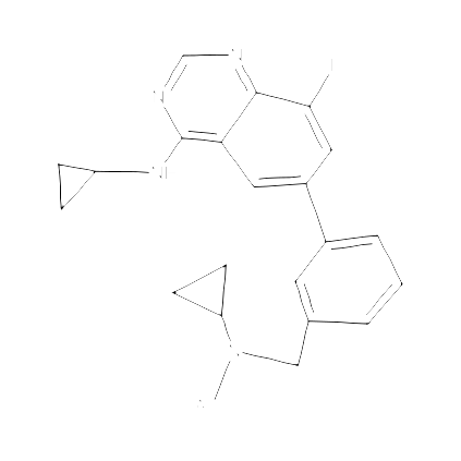 CC(=O)N(Cc1cccc(-c2cc(F)c3ncnc(NC4CC4)c3c2)c1)C1CC1